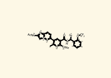 [2H]C(NC(=O)c1cc(-c2ccc3nc(NC(C)=O)cn3n2)c(C)nc1OC)c1ccccc1OC(F)(F)F